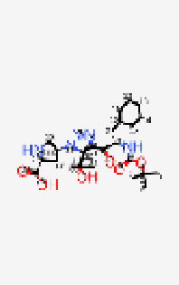 CC(C)(C)OC(=O)N[C@@H](CC1CCCCC1)C(=O)c1nnn([C@@H]2CN[C@H](C(=O)O)C2)c1C(C)(C)O